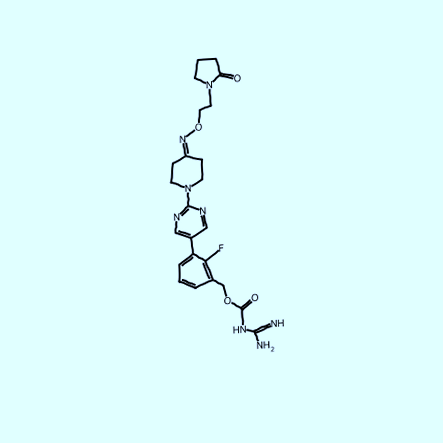 N=C(N)NC(=O)OCc1cccc(-c2cnc(N3CCC(=NOCCN4CCCC4=O)CC3)nc2)c1F